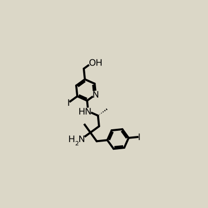 C[C@H](CC(C)(N)Cc1ccc(I)cc1)Nc1ncc(CO)cc1I